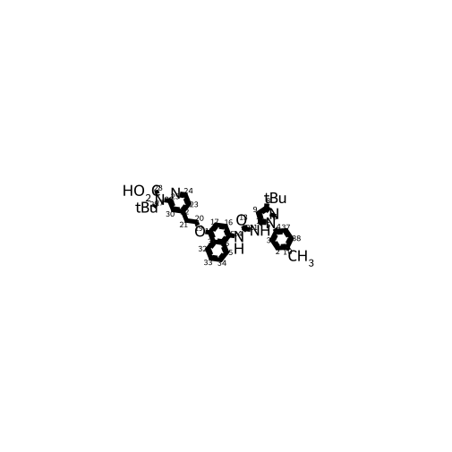 Cc1ccc(-n2nc(C(C)(C)C)cc2NC(=O)Nc2ccc(OCCc3ccnc(N(C(=O)O)C(C)(C)C)c3)c3ccccc23)cc1